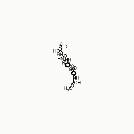 COCC(O)CNC(=O)Nc1nc2ccc(OS(=O)(=O)c3ccc(NCC(O)COC)cc3)cc2[nH]1